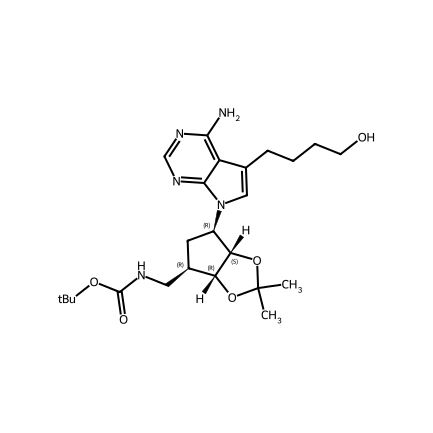 CC(C)(C)OC(=O)NC[C@H]1C[C@@H](n2cc(CCCCO)c3c(N)ncnc32)[C@@H]2OC(C)(C)O[C@H]12